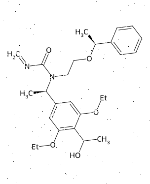 C=NC(=O)N(CCO[C@@H](C)c1ccccc1)[C@H](C)c1cc(OCC)c(C(C)O)c(OCC)c1